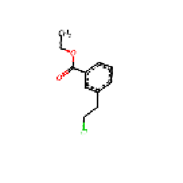 CCOC(=O)c1cccc(CCCl)c1